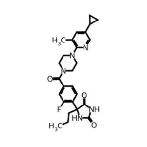 CCCC1(c2ccc(C(=O)N3CCN(c4ncc(C5CC5)cc4C)CC3)cc2F)NC(=O)NC1=O